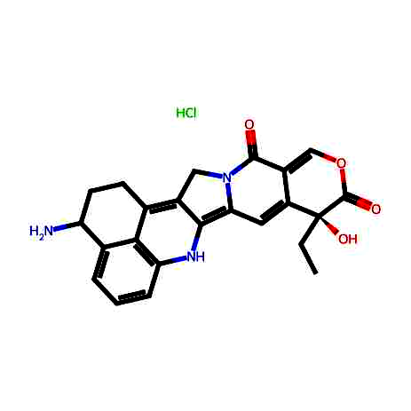 CC[C@@]1(O)C(=O)OC=c2c1cc1n(c2=O)CC2=C3CCC(N)c4cccc(c43)NC=12.Cl